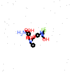 NC(=O)c1cc(OCCN(Cc2ccccc2)CC(O)COc2ccc(-c3nc(C(F)(F)F)cn3CCO)cc2)ccc1O